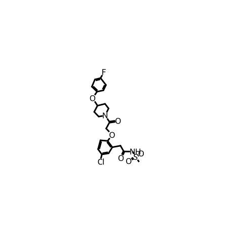 CS(=O)(=O)NC(=O)Cc1cc(Cl)ccc1OCC(=O)N1CCC(Oc2ccc(F)cc2)CC1